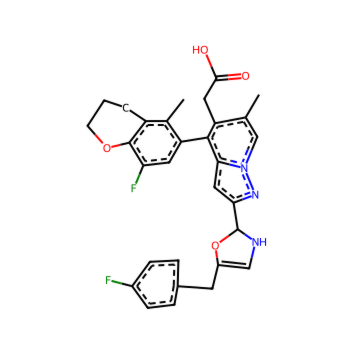 Cc1cn2nc(C3NC=C(Cc4ccc(F)cc4)O3)cc2c(-c2cc(F)c3c(c2C)CCCO3)c1CC(=O)O